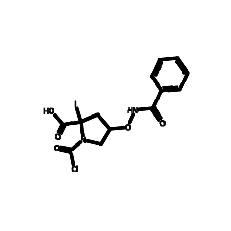 O=C(NOC1CN(C(=O)Cl)C(I)(C(=O)O)C1)c1ccccc1